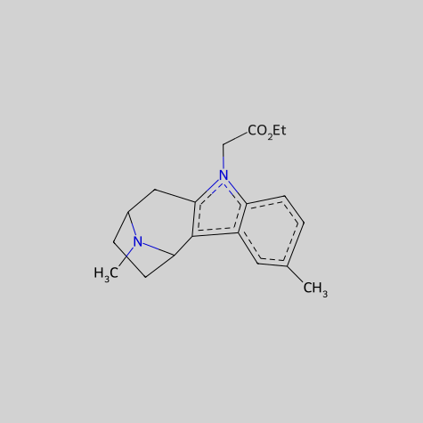 CCOC(=O)Cn1c2c(c3cc(C)ccc31)C1CCC(C2)N1C